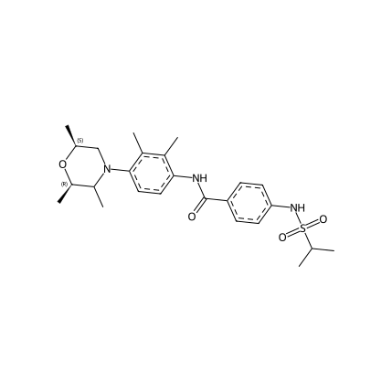 Cc1c(NC(=O)c2ccc(NS(=O)(=O)C(C)C)cc2)ccc(N2C[C@H](C)O[C@H](C)C2C)c1C